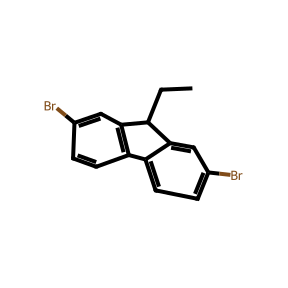 CCC1c2cc(Br)ccc2-c2ccc(Br)cc21